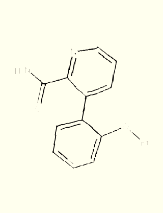 CCOc1ccccc1-c1cccnc1C(N)=O